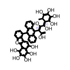 C=C(O)/C(=C(O)\C(O)=C1\C(O)=C(O)C(O)=C(O)C1C)c1c2ccccc2c(-c2cccc3oc4c(cc(O)c5c(O)c(O)c(O)c(O)c54)c23)c2ccccc12